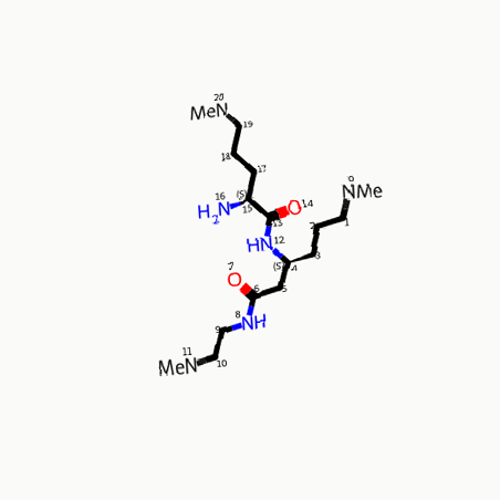 CNCCC[C@@H](CC(=O)NCCNC)NC(=O)[C@@H](N)CCCNC